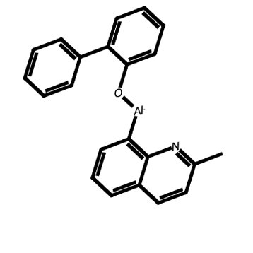 Cc1ccc2ccc[c]([Al][O]c3ccccc3-c3ccccc3)c2n1